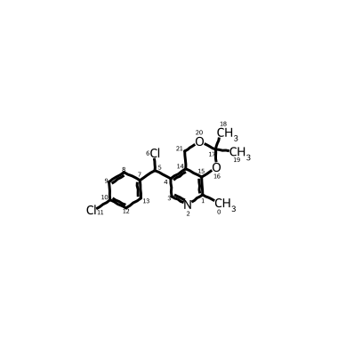 Cc1ncc(C(Cl)c2ccc(Cl)cc2)c2c1OC(C)(C)OC2